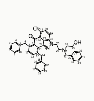 O=C1c2c(Cc3ccccc3)ccc(Cc3ccccc3)c2-c2nn(CCN(CCO)Cc3ccccc3)c3ccc(Cl)c1c23